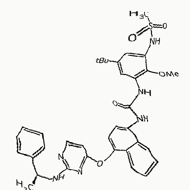 COc1c(NC(=O)Nc2ccc(Oc3ccnc(N[C@@H](C)c4ccccc4)n3)c3ccccc23)cc(C(C)(C)C)cc1NS(C)(=O)=O